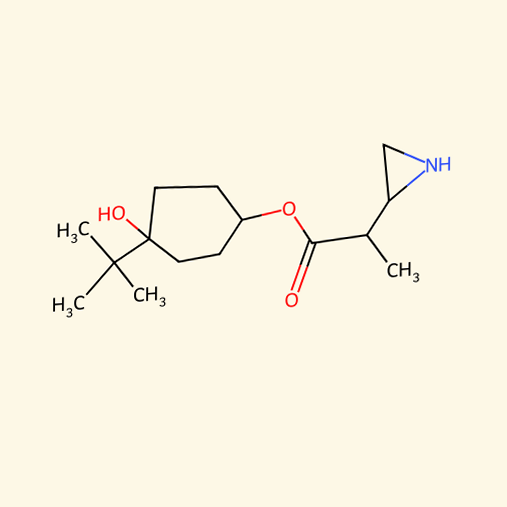 CC(C(=O)OC1CCC(O)(C(C)(C)C)CC1)C1CN1